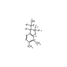 Cc1ccc(C(F)(C(O)(F)F)C(F)(F)F)cc1C